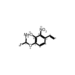 C=Cc1ccc(OC(F)F)c(OC)c1[N+](=O)[O-]